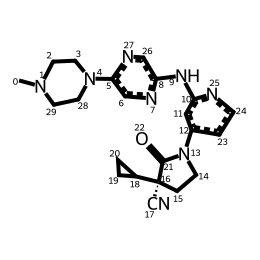 CN1CCN(c2cnc(Nc3cc(N4CC[C@@](C#N)(C5CC5)C4=O)ccn3)cn2)CC1